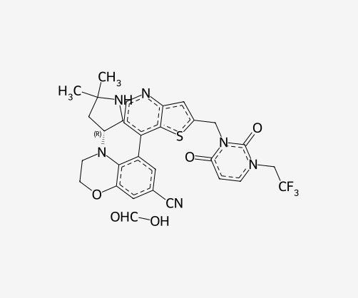 CC1(C)C[C@@H](N2CCOc3cc(C#N)cc(-c4ccnc5cc(Cn6c(=O)ccn(CC(F)(F)F)c6=O)sc45)c32)CN1.O=CO